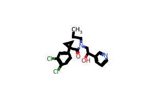 CCCN(CC(O)c1cccnc1)C(=O)C1(c2ccc(Cl)c(Cl)c2)CC1